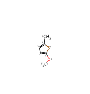 Cc1ccc(OC(F)(F)F)s1